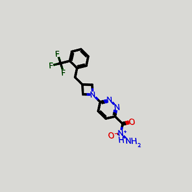 N[NH+]([O-])C(=O)c1ccc(N2CC(Cc3ccccc3C(F)(F)F)C2)nn1